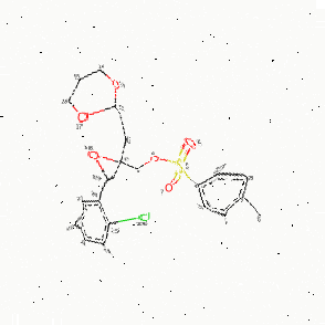 Cc1ccc(S(=O)(=O)OCC2(CC3OCCCO3)OC2c2ccccc2Cl)cc1